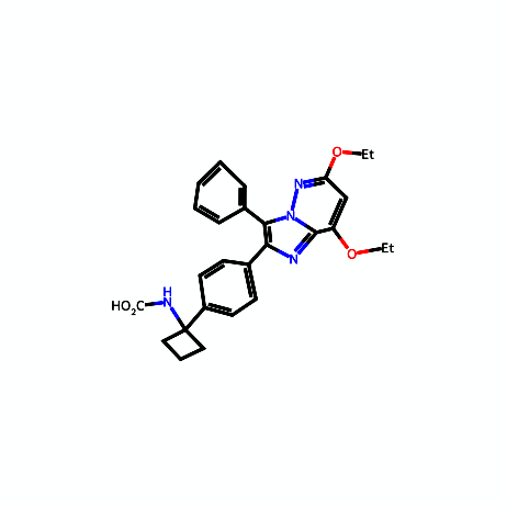 CCOc1cc(OCC)c2nc(-c3ccc(C4(NC(=O)O)CCC4)cc3)c(-c3ccccc3)n2n1